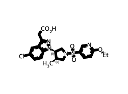 CCOc1ccc(S(=O)(=O)N2C[C@@H](C)[C@@H](n3nc(CC(=O)O)c4cc(Cl)ccc43)C2)cn1